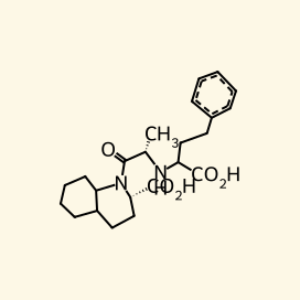 C[C@H](NC(CCc1ccccc1)C(=O)O)C(=O)N1C2CCCCC2CC[C@H]1C(=O)O